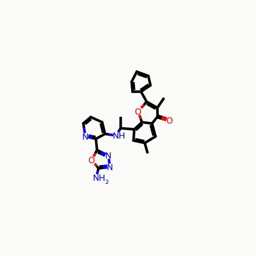 Cc1cc(C(C)Nc2cccnc2-c2nnc(N)o2)c2oc(-c3ccccc3)c(C)c(=O)c2c1